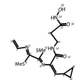 C=C/N=C(SC)/C(=N/C(=C/C1CC1)C(=O)NCCC(=O)NO)SC